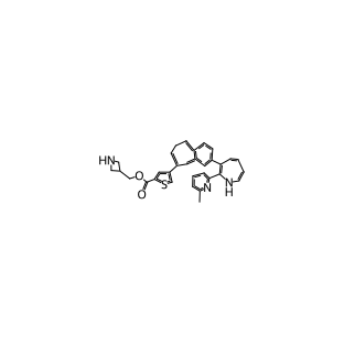 Cc1cccc(C2=C(c3ccc4c(c3)=CC(c3csc(C(=O)OCC5CNC5)c3)=CCC=4)C=CC=CN2)n1